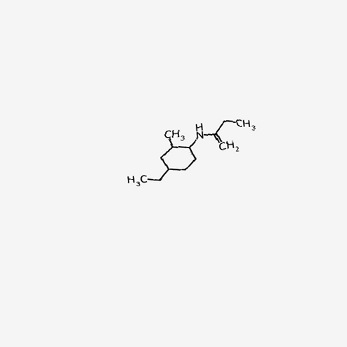 C=C(CC)NC1CCC(CC)CC1C